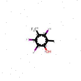 Cc1c(O)c(I)c(I)c(C(F)(F)F)c1I